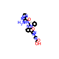 C[C@@H](NC(=O)c1c(N)nn2cccnc12)c1nc2cccc(-c3cnn(C4CN(C(=O)CO)C4)c3)c2c(=O)n1-c1ccccc1